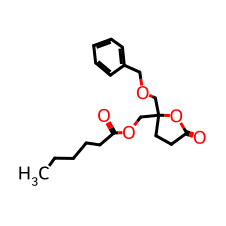 CCCCCC(=O)OCC1(COCc2ccccc2)CCC(=O)O1